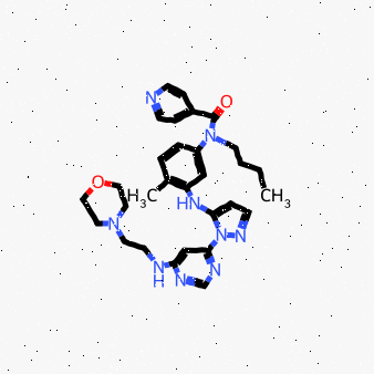 CCCCN(C(=O)c1ccncc1)c1ccc(C)c(Nc2ccnn2-c2cc(NCCN3CCOCC3)ncn2)c1